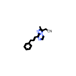 Cc1nc2c(C=CCc3ccccc3)nccn2c1CC#N